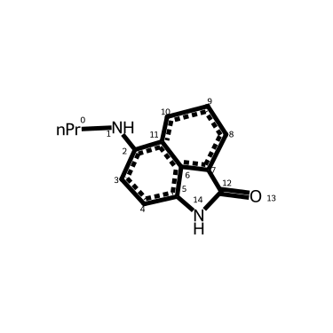 CCCNc1ccc2c3c(cccc13)C(=O)N2